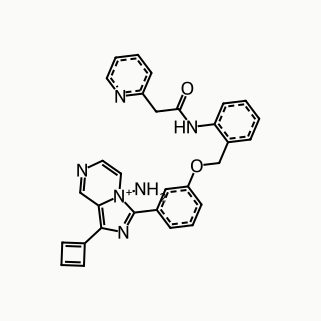 N[N+]12C=CN=CC1=C(C1=CC=C1)N=C2c1cccc(OCc2ccccc2NC(=O)Cc2ccccn2)c1